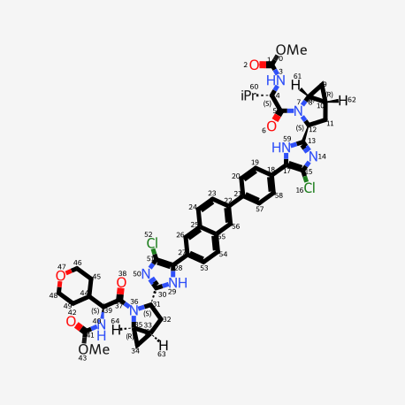 COC(=O)N[C@H](C(=O)N1[C@@H]2C[C@@H]2C[C@H]1c1nc(Cl)c(-c2ccc(-c3ccc4cc(-c5[nH]c([C@@H]6C[C@H]7C[C@H]7N6C(=O)[C@@H](NC(=O)OC)C6CCOCC6)nc5Cl)ccc4c3)cc2)[nH]1)C(C)C